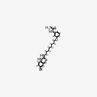 NC(=S)Nc1cccc(OCCCCCCCCNC(=S)Nc2ccc(Br)cc2F)c1